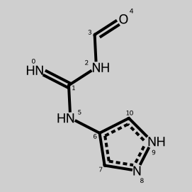 N=C(NC=O)Nc1cn[nH]c1